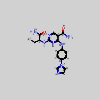 CC(C)CC(Nc1ncc(C(N)=O)c(Nc2ccc(-n3ccnc3)cc2)n1)C(N)=O